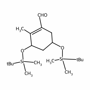 CC1=C(C=O)CC(O[Si](C)(C)C(C)(C)C)CC1O[Si](C)(C)C(C)(C)C